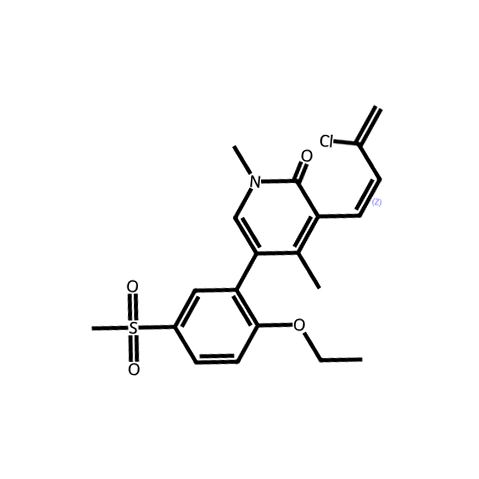 C=C(Cl)/C=C\c1c(C)c(-c2cc(S(C)(=O)=O)ccc2OCC)cn(C)c1=O